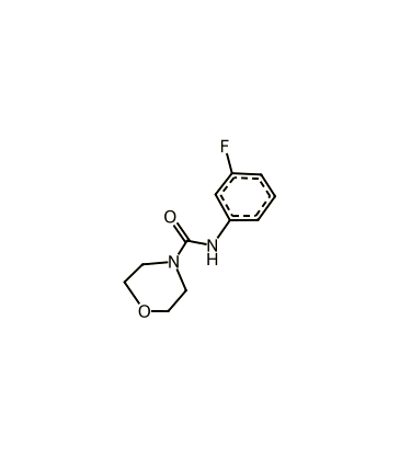 O=C(Nc1cccc(F)c1)N1CCOCC1